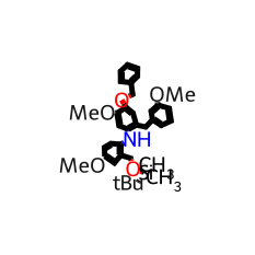 COc1cccc(Cc2cc(OCc3ccccc3)c(OC)cc2Nc2ccc(OC)cc2CO[Si](C)(C)C(C)(C)C)c1